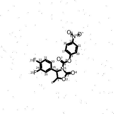 CC1OC(=O)N(C(=O)Oc2ccc([N+](=O)[O-])cc2)C1c1ccc(F)c(F)c1